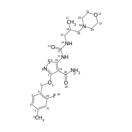 Cc1ccc(COc2nsc(NC(=O)NCC(C)CN3CCOCC3)c2C(N)=O)c(F)c1